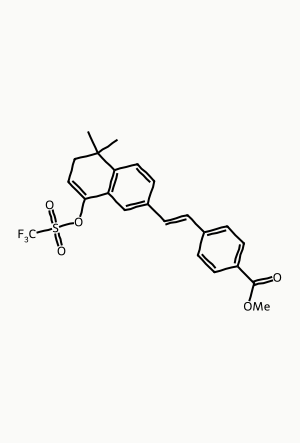 COC(=O)c1ccc(/C=C/c2ccc3c(c2)C(OS(=O)(=O)C(F)(F)F)=CCC3(C)C)cc1